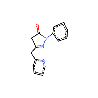 O=C1CC(Cc2ccccn2)=NN1c1ccccc1